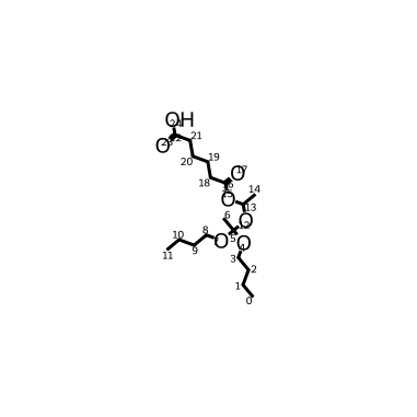 CCCCOC(C)(OCCCC)OC(C)OC(=O)CCCCC(=O)O